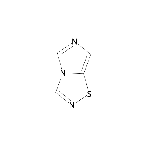 c1ncn2cnsc12